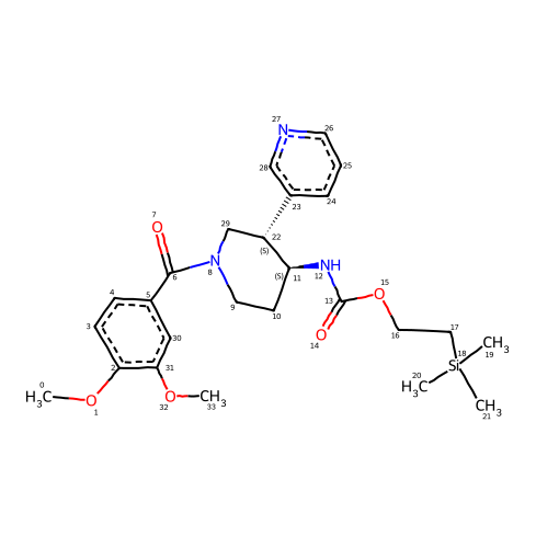 COc1ccc(C(=O)N2CC[C@H](NC(=O)OCC[Si](C)(C)C)[C@@H](c3cccnc3)C2)cc1OC